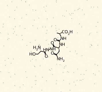 C[C@H](NC(=O)N[C@@H](CC(N)=O)C(=O)NNC(=O)[C@@H](N)CO)C(=O)O